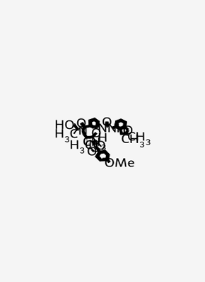 COc1ccc(S(=O)(=O)N(C)C[C@@H]2Oc3c(NC(=O)Nc4cccc5c4CC(C)(C)O5)cccc3C(=O)N([C@@H](C)CO)C[C@H]2C)cc1